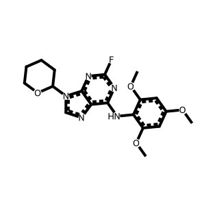 COc1cc(OC)c(Nc2nc(F)nc3c2ncn3C2CCCCO2)c(OC)c1